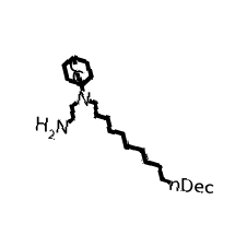 CCCCCCCCCCCCCCCCCCCCN(CCN)C12CCC(CC1)CC2